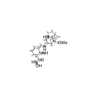 COCC12CNCCC1(c1ccc(N/C=C3/C=CC=C(C(=O)NO)C3=N)cc1)C2